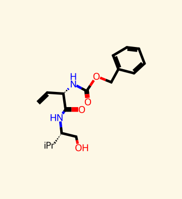 C=C[C@H](NC(=O)OCc1ccccc1)C(=O)N[C@H](CO)C(C)C